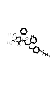 COc1ccc(C[C@@H](CC(=O)N2C(=O)N(C)[C@H](C)[C@@H]2c2ccccc2)c2cccnc2)cc1